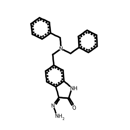 NN=C1C(=O)Nc2cc(CN(Cc3ccccc3)Cc3ccccc3)ccc21